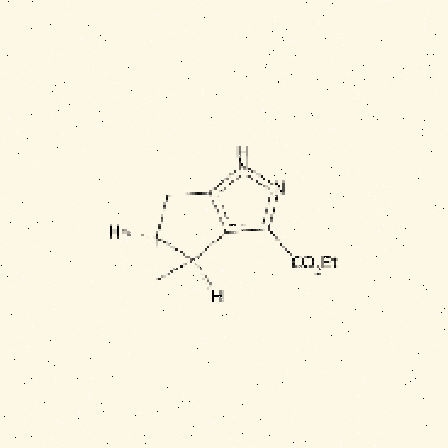 CCOC(=O)c1n[nH]c2c1[C@H]1C[C@H]1C2